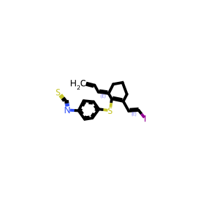 C=C/C=C1\CCCC(/C=C/I)=C1Sc1ccc(N=C=S)cc1